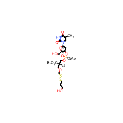 CCOC(=O)C(CC)(COCSSCCCO)COP(=O)(OC)OC1C[C@H](n2cc(C)c(=O)[nH]c2=O)O[C@@H]1CO